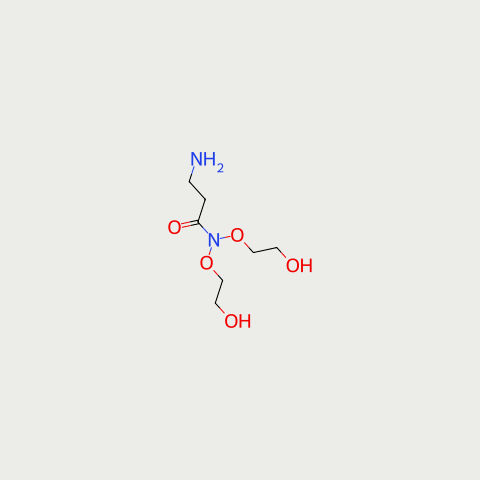 NCCC(=O)N(OCCO)OCCO